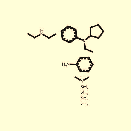 CCN(c1ccccc1)C1CCCC1.CCNCC.CNC.Nc1ccccc1.[SiH4].[SiH4].[SiH4].[SiH4]